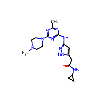 Cc1nc(Nc2cc(CC(=O)NC3CC3)[nH]n2)nc(N2CCN(C)CC2)n1